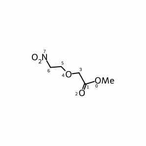 COC(=O)COCC[N+](=O)[O-]